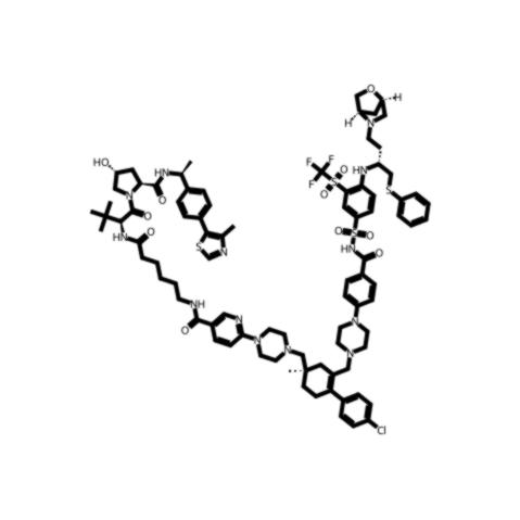 Cc1ncsc1-c1ccc([C@H](C)NC(=O)[C@@H]2C[C@@H](O)CN2C(=O)[C@@H](NC(=O)CCCCCNC(=O)c2ccc(N3CCN(C[C@]4(C)CCC(c5ccc(Cl)cc5)=C(CN5CCN(c6ccc(C(=O)NS(=O)(=O)c7ccc(N[C@H](CCN8C[C@H]9C[C@@H]8CO9)CSc8ccccc8)c(S(=O)(=O)C(F)(F)F)c7)cc6)CC5)C4)CC3)nc2)C(C)(C)C)cc1